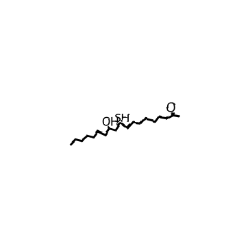 CCCCCCCC(O)CC(S)CCCCCCCC(C)=O